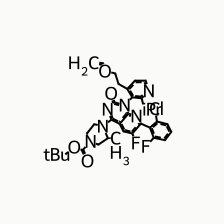 C=COCCc1ccnc(C(C)C)c1-n1c(=O)nc(N2CCN(C(=O)OC(C)(C)C)C[C@@H]2C)c2cc(F)c(-c3c(F)cccc3Cl)nc21